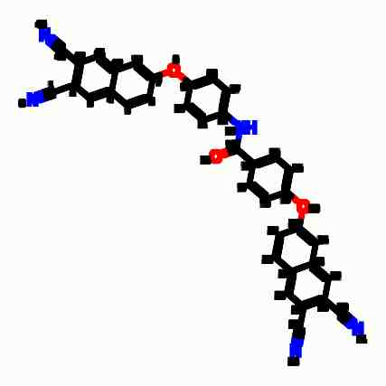 N#Cc1cc2ccc(Oc3ccc(NC(=O)c4ccc(Oc5ccc6cc(C#N)c(C#N)cc6c5)cc4)cc3)cc2cc1C#N